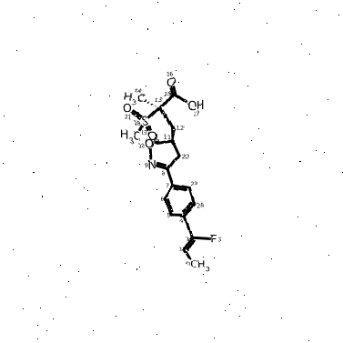 C/C=C(\F)c1ccc(C2=NO[C@@H](C[C@](C)(C(=O)O)S(C)(=O)=O)C2)cc1